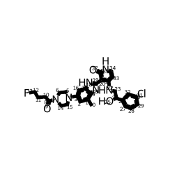 Cc1cc(N2CCN(C(=O)CCCF)CC2)cc2[nH]c(-c3c(NCC(O)c4cccc(Cl)c4)cc[nH]c3=O)nc12